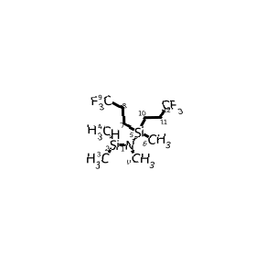 CN([SiH](C)C)[Si](C)(CCC(F)(F)F)CCC(F)(F)F